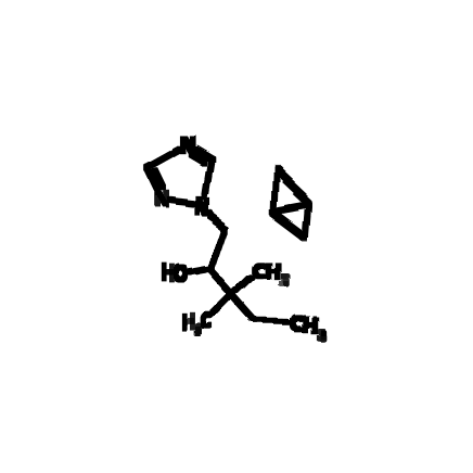 C1C2CC12.CCC(C)(C)C(O)Cn1cncn1